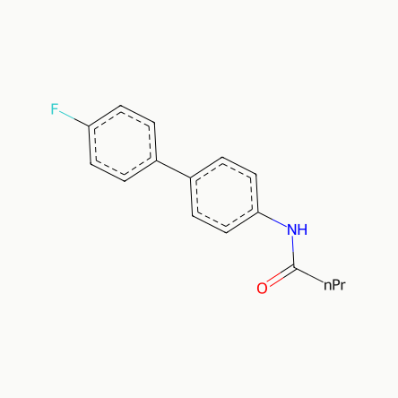 CCCC(=O)Nc1ccc(-c2ccc(F)cc2)cc1